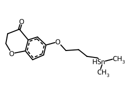 [CH3][SnH]([CH3])[CH2]CCCOc1ccc2c(c1)C(=O)CCO2